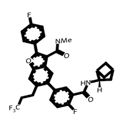 CNC(=O)c1c(-c2ccc(F)cc2)oc2cc(CCC(F)(F)F)c(-c3ccc(F)c(C(=O)N[C@H]4CC5CC4C5)c3)cc12